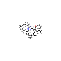 c1ccc(-c2ccc(-c3cccc(-c4cccc5oc6cc(-c7nc(-c8ccccc8)nc(-c8cccc9ccc(-c%10ccccc%10)cc89)n7)ccc6c45)c3)cc2)cc1